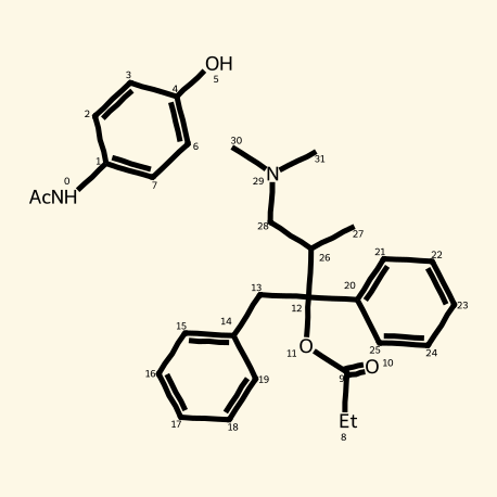 CC(=O)Nc1ccc(O)cc1.CCC(=O)OC(Cc1ccccc1)(c1ccccc1)C(C)CN(C)C